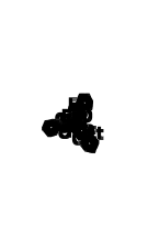 CCOP(=O)(c1ccccc1)c1nc(P(=O)(OCC)c2ccccc2)nc(P(=O)(OCC)c2ccccc2)n1